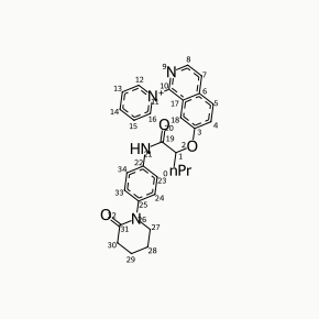 CCCC(Oc1ccc2ccnc(-[n+]3ccccc3)c2c1)C(=O)Nc1ccc(N2CCCCC2=O)cc1